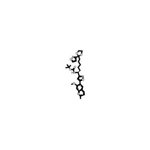 COc1cc2nc(C)ccc2cc1-c1cc([C@H](CCCCCC2(c3ccon3)OCCO2)NC(=O)OC(C)(C)C)no1